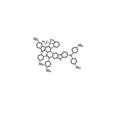 CC(C)(C)c1ccc(N2B3c4cc(C(C)(C)C)ccc4-n4c5ccc(C(C)(C)C)cc5c5c6c(c(c3c54)-c3cc4c(cc32)sc2cc(N(c3ccc(C(C)(C)C)cc3)c3ccc(C(C)(C)C)cc3)ccc24)-c2ccccc2C6(C)C)cc1